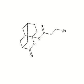 O=C(CCS)OC12CCC3CC(CC1C3)C(=O)O2